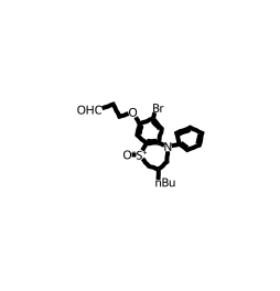 CCCCC1CN(c2ccccc2)c2cc(Br)c(OCCC=O)cc2[S+]([O-])C1